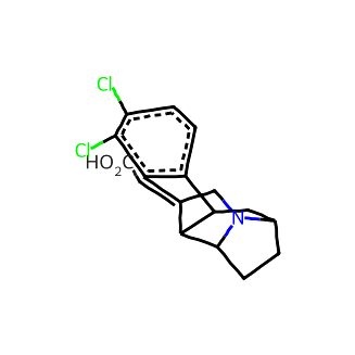 O=C(O)C=C1CN2C3CCC2C1C(c1ccc(Cl)c(Cl)c1)C3